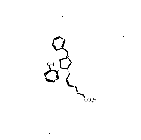 O=C(O)CCC/C=C\C[C@H]1CN(Cc2ccccc2)C[C@H]1c1ccccc1O